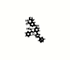 CC1NC(=O)c2ccc(Nc3cc(N[C@H](CO)c4ccccc4)c(-c4nc(C56CCN(CC5)CC6)no4)cn3)cc2C1(C)C